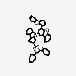 C1=C(c2cccc3c2sc2ccccc23)c2oc3ccccc3c2CC1n1c2ccccc2c2ccc(-c3nc(-c4ccccc4)cc(-c4ccccc4)n3)cc21